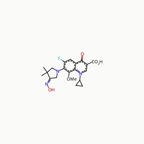 COc1c(N2C/C(=N\O)C(C)(C)C2)c(F)cc2c(=O)c(C(=O)O)cn(C3CC3)c12